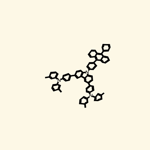 Cc1cccc(N(c2ccc(-c3ccc4c(c3)c3cc(-c5ccc(N(c6cccc(C)c6)c6cccc(C)c6)cc5)ccc3n4-c3ccc(-c4c5ccccc5c(-c5ccccc5)c5ccccc45)cc3)cc2)c2cccc(C)c2)c1